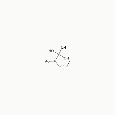 C/C=C\N(C(C)=O)C(O)(O)O